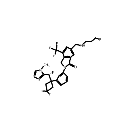 Cn1cnnc1[C@H](F)C1(c2cccc(N3Cc4c(cc(CNCCCF)cc4C(F)(F)F)C3=O)c2)CC(F)(F)C1